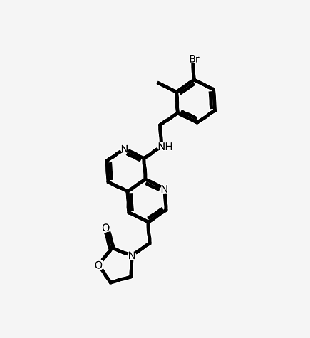 Cc1c(Br)cccc1CNc1nccc2cc(CN3CCOC3=O)cnc12